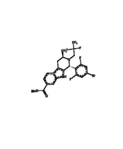 COC(=O)c1ccc2c3c([nH]c2c1)[C@@H](c1c(F)cc(Br)cc1F)N(CC(C)(F)F)[C@H](C)C3